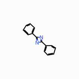 c1ccc(C2=NC(c3ccccc3)=N2)cc1